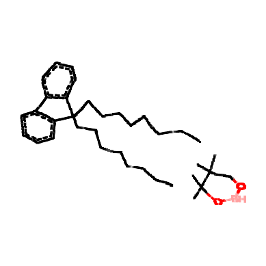 CC1(C)COBOC1(C)C.CCCCCCCCC1(CCCCCCCC)c2ccccc2-c2ccccc21